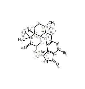 CC(=O)NC1C[C@@]23Oc4c(cc(Br)c5c4C(O)NC5=O)C[C@]2(C)[C@@H](C)CC[C@H]3C(C)(C)C1=O